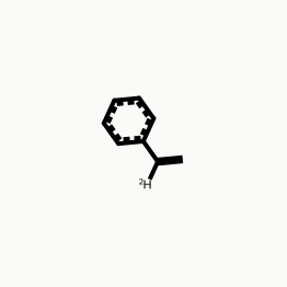 [2H]C(=C)c1ccccc1